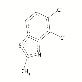 Cc1nc2c(Cl)c(Cl)ccc2s1